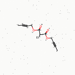 CC#CCOC(=O)C(CC)C(=O)OCC#CC